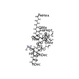 C=CCOC(=O)O[C@@H]1C(OOC2OC(COC)[C@@H](OP(=O)(OCC=C)OCC=C)C(OCCC(CCCCCCC)OC)[C@H]2NC(=O)CCCCCCCCC/C=C\CCCCCC)C[C@H](O/C=C\C)[C@H](NC(=O)CC(=O)CCCCCCCCCCC)C1OCCCCCCCCCC